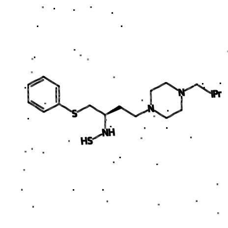 CC(C)CN1CCN(CC[C@H](CSc2ccccc2)NS)CC1